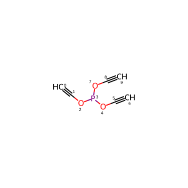 C#COP(OC#C)OC#C